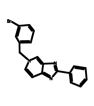 Brc1cccc(Cn2ccc3nc(-c4ccccc4)nc-3c2)c1